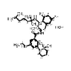 CCNc1cc(C(=O)N[C@@H](Cc2cc(F)cc(F)c2)[C@H](O)CNC(C)(C)CCCC(C)C)cc(N2CCCCS2(O)O)c1.Cl